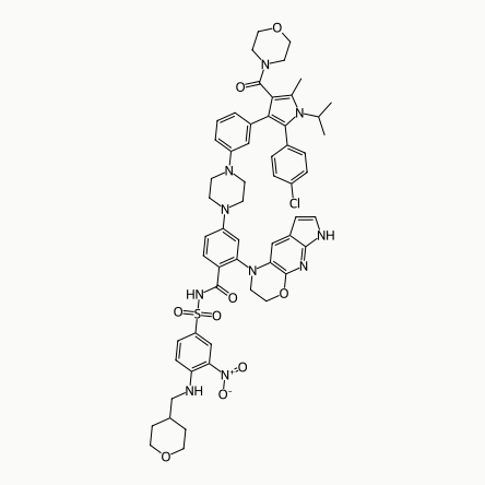 Cc1c(C(=O)N2CCOCC2)c(-c2cccc(N3CCN(c4ccc(C(=O)NS(=O)(=O)c5ccc(NCC6CCOCC6)c([N+](=O)[O-])c5)c(N5CCOc6nc7[nH]ccc7cc65)c4)CC3)c2)c(-c2ccc(Cl)cc2)n1C(C)C